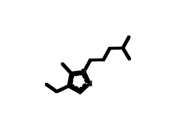 CCc1[c]nn(CCCC(C)C)c1C